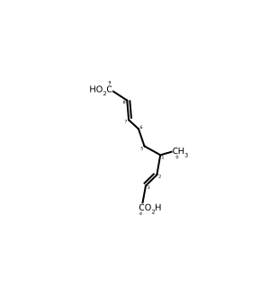 CC(C=CC(=O)O)CCC=CC(=O)O